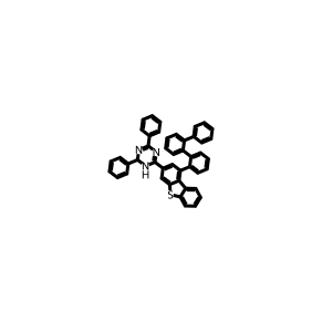 c1ccc(C2=NC(c3ccccc3)NC(c3cc(-c4ccccc4-c4ccccc4-c4ccccc4)c4c(c3)sc3ccccc34)=N2)cc1